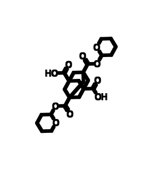 O=C(O)C12CC3(C(=O)O)CC(C(=O)OC4CCCCO4)(C1)CC(C(=O)OC1CCCCO1)(C2)C3